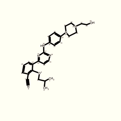 CC(C)COc1c(C#N)cccc1-c1ccnc(Nc2ccc(N3CCN(CCO)CC3)cc2)n1